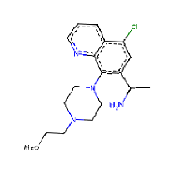 COCCN1CCN(c2c(C(C)N)cc(Cl)c3cccnc23)CC1